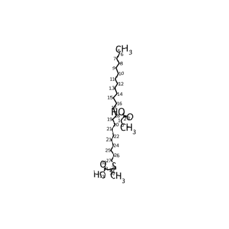 CCC(=O)O.CCCCCCCCCCCCCCCCCCCCCCCSC(C)C(=O)O